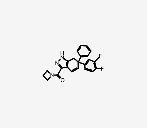 O=C(c1n[nH]c2c1C=CC(c1ccccc1)(c1ccc(F)c(F)c1)C2)N1CCC1